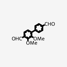 COc1c(C=O)ccc(-c2ccc(C=O)cc2)c1OC